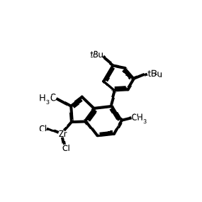 CC1=Cc2c(ccc(C)c2-c2cc(C(C)(C)C)cc(C(C)(C)C)c2)[CH]1[Zr]([Cl])[Cl]